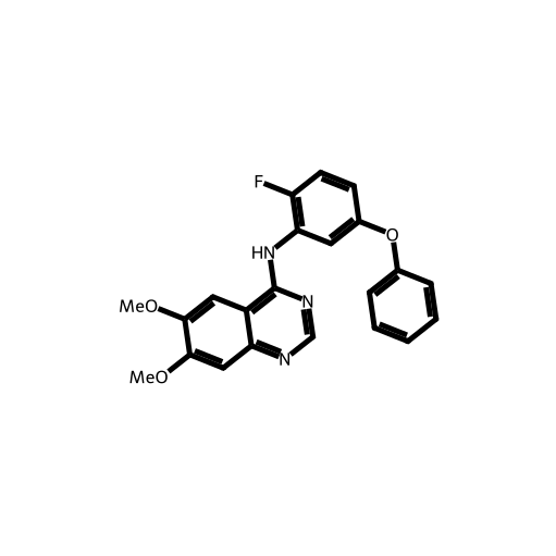 COc1cc2ncnc(Nc3cc(Oc4ccccc4)ccc3F)c2cc1OC